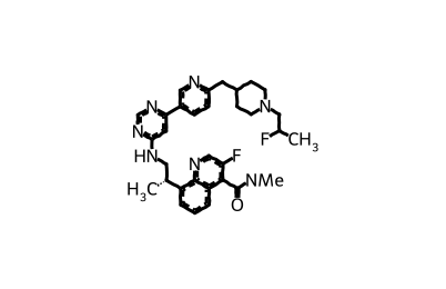 CNC(=O)c1c(F)cnc2c([C@H](C)CNc3cc(-c4ccc(CC5CCN(CC(C)F)CC5)nc4)ncn3)cccc12